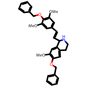 COc1cc2c(cc1OCc1ccccc1)CCNC2/C=C/c1cc(OC)c(OCc2ccccc2)c(OC)c1